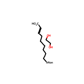 CCCCCCCCCCCCCCCC=CC(=O)O.OCCO